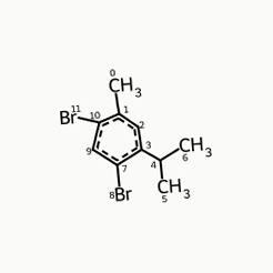 Cc1cc(C(C)C)c(Br)cc1Br